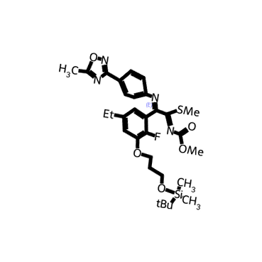 CCc1cc(OCCCO[Si](C)(C)C(C)(C)C)c(F)c(/C(=N\c2ccc(-c3noc(C)n3)cc2)C(=NC(=O)OC)SC)c1